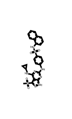 CS(=O)(=O)c1n[nH]c2nc(Nc3ccc(S(=O)(=O)Nc4cccc5ccccc45)cc3)nc(NC3CC3)c12